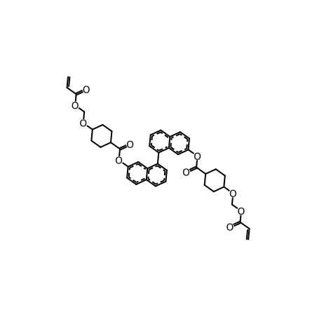 C=CC(=O)OCOC1CCC(C(=O)Oc2ccc3cccc(-c4cccc5ccc(OC(=O)C6CCC(OCOC(=O)C=C)CC6)cc45)c3c2)CC1